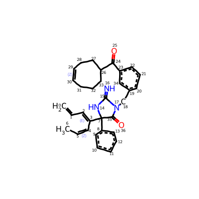 C=C/C=C(\C=C/C)C1(c2ccccc2)NC(=N)N(Cc2cccc(C(=O)C3CC/C=C\CCC3)c2)C1=O